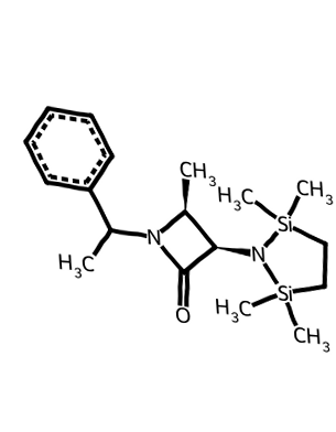 CC(c1ccccc1)N1C(=O)[C@H](N2[Si](C)(C)CC[Si]2(C)C)[C@@H]1C